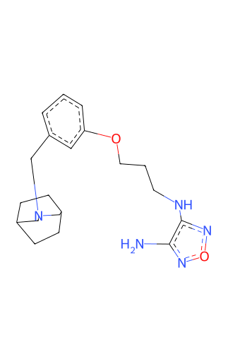 Nc1nonc1NCCCOc1cccc(CN2CC3CCC(CC3)C2)c1